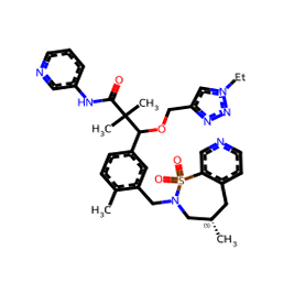 CCn1cc(COC(c2ccc(C)c(CN3C[C@@H](C)Cc4ccncc4S3(=O)=O)c2)C(C)(C)C(=O)Nc2cccnc2)nn1